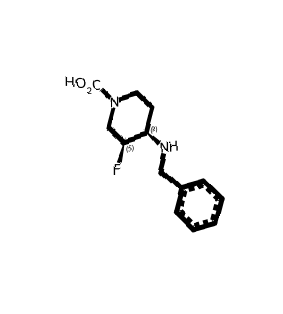 O=C(O)N1CC[C@@H](NCc2ccccc2)[C@@H](F)C1